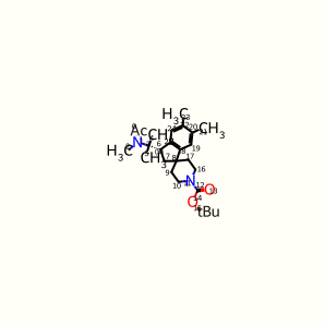 CC(=O)N(C)C(C)(C)[C@H]1CC2(CCN(C(=O)OC(C)(C)C)CC2)c2cc(C)c(C)cc21